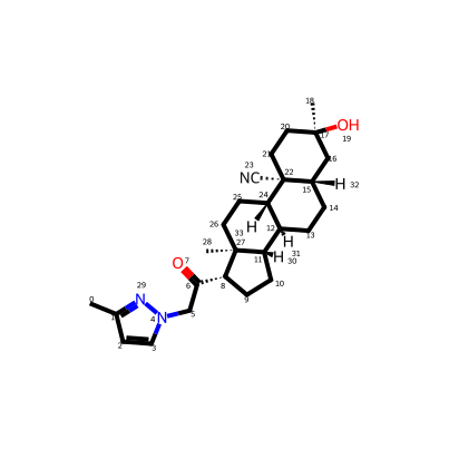 Cc1ccn(CC(=O)[C@H]2CC[C@H]3[C@@H]4CC[C@H]5C[C@](C)(O)CC[C@]5(C#N)[C@H]4CC[C@]23C)n1